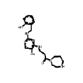 N#Cc1cnc(NCc2ccccc2O)nc1NCCC(=O)N1CCCNCC1